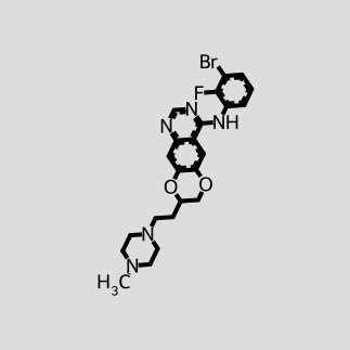 CN1CCN(CCC2COc3cc4c(Nc5cccc(Br)c5F)ncnc4cc3O2)CC1